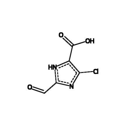 O=Cc1nc(Cl)c(C(=O)O)[nH]1